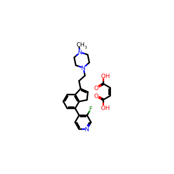 CN1CCN(CCC2=CCc3c2cccc3-c2ccncc2F)CC1.O=C(O)/C=C\C(=O)O